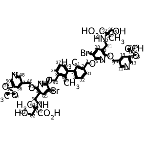 Cc1c(COc2nc(OCc3cncc(S(C)(=O)=O)c3)c(CNC(C)(CO)C(=O)O)cc2Br)cccc1-c1cccc(COc2nc(OCc3cncc(S(C)(=O)=O)c3)c(CN[C@](C)(CO)C(=O)O)cc2Br)c1C